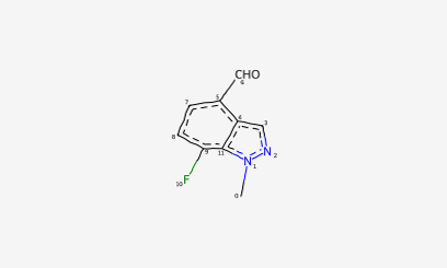 Cn1ncc2c(C=O)ccc(F)c21